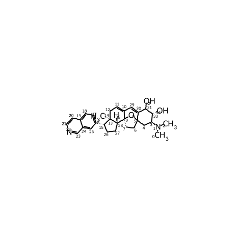 CN(C)[C@H]1CC23CC[C@@]4(O2)C(=CC[C@]2(C)[C@@H](c5ccc6ccncc6c5)CC[C@H]24)C=C3C(O)[C@@H]1O